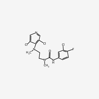 CN(CCN(C)c1c(Cl)cncc1Cl)C(=O)Nc1ccc(F)c(Cl)c1